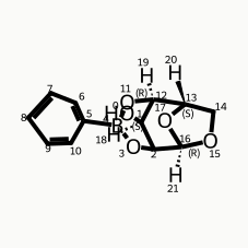 O[C@@H]1C2OB(c3ccccc3)O[C@H]1[C@@H]1CO[C@@H]2O1